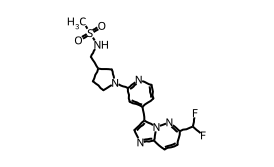 CS(=O)(=O)NCC1CCN(c2cc(-c3cnc4ccc(C(F)F)nn34)ccn2)C1